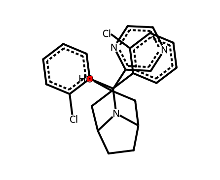 OC1(c2cnccn2)CC2CCC(C1)N2C(c1ccccc1Cl)c1ccccc1Cl